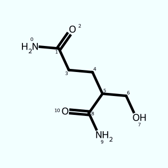 NC(=O)CCC(CO)C(N)=O